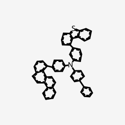 c1ccc(-c2ccc(N(c3ccc(-c4cccc5ccc6c7ccccc7ccc6c45)cc3)c3cccc(-c4cccc5sc6ccccc6c45)c3)cc2)cc1